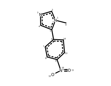 Cn1cncc1-c1ccc([N+](=O)[O-])cc1